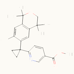 COC(=O)c1ccc(C2(c3cc4c(cc3C)C(C)(C)OCC4(C)C)CC2)nc1